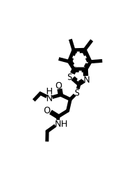 CCNC(=O)CC(Sc1nc2c(C)c(C)c(C)c(C)c2s1)C(=O)NCC